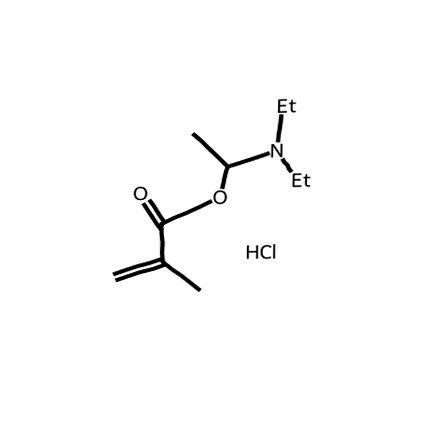 C=C(C)C(=O)OC(C)N(CC)CC.Cl